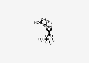 C[C@H](OB(O)O)n1cc(C(=O)OC(C)(C)C)cn1